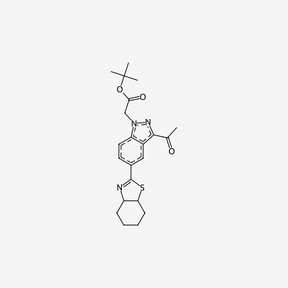 CC(=O)c1nn(CC(=O)OC(C)(C)C)c2ccc(C3=NC4CCCCC4S3)cc12